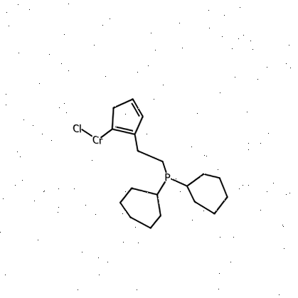 [Cl][Cr][C]1=C(CCP(C2CCCCC2)C2CCCCC2)C=CC1